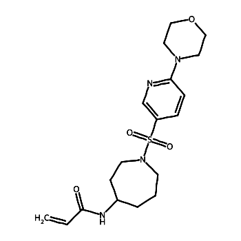 C=CC(=O)NC1CCCN(S(=O)(=O)c2ccc(N3CCOCC3)nc2)CC1